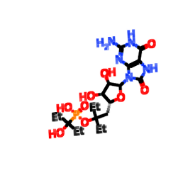 CCC(CC)(C[C@H]1OC(n2c(=O)[nH]c3c(=O)[nH]c(N)nc32)[C@H](O)[C@@H]1O)OP(=O)(O)C(O)(CC)CC